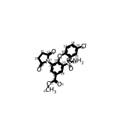 COC(=O)c1cc(N2C(=O)CCC2=O)c(Oc2ccc(Cl)cc2)c(S(N)(=O)=O)c1